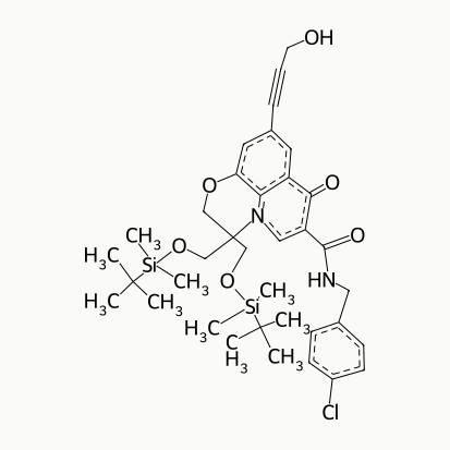 CC(C)(C)[Si](C)(C)OCC1(CO[Si](C)(C)C(C)(C)C)COc2cc(C#CCO)cc3c(=O)c(C(=O)NCc4ccc(Cl)cc4)cn1c23